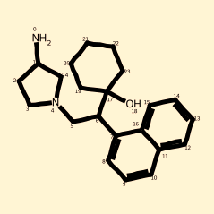 NC1CCN(CC(c2cccc3ccccc23)C2(O)CCCCC2)C1